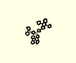 C1=CC2c3ccccc3N(c3ccc(N(c4ccc(-c5ccc6c(-c7ccccc7)c7ccccc7c(-c7ccccc7)c6c5)cc4)c4ccc5c(c4)C4(c6ccccc6-c6ccccc64)c4ccccc4-5)cc3)C2C=C1